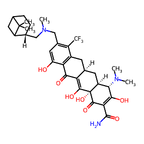 CN(Cc1cc(O)c2c(c1C(F)(F)F)C[C@H]1C[C@H]3[C@H](N(C)C)C(O)=C(C(N)=O)C(=O)[C@@]3(O)C(O)=C1C2=O)C[C@H]1CCC2CC1C2(C)C